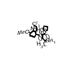 COc1ccc(-c2nc(C(=O)N3CCC[C@H]3C=O)c(C(C)N)o2)c2ccc(C(F)(F)F)nc12